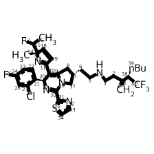 C=C(CCNCC[C@H]1CC2=C(C3=N[C@](C)(C(C)F)C=C3)[C@H](c3ccc(F)cc3Cl)N=C(c3nccs3)N2C1)[C@H](CCCC)C(F)(F)F